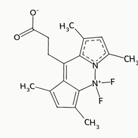 CC1=CC(C)=C2C1=C(CCC(=O)[O-])c1c(C)cc(C)n1[N+]2(F)F